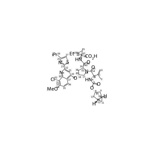 C=C(C)[C@H](NC(=O)O[C@@H]1C[C@@H]2C[C@@H]2C1)C(=O)N1C[C@H](Oc2cc(-c3nc(C(C)C)cs3)nc3c(Cl)c(OC)ccc23)C[C@H]1C(=O)N[C@]1(C(=O)O)C[C@H]1CC